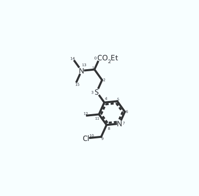 CCOC(=O)C(CSc1ccnc(CCl)c1C)N(C)C